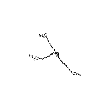 CCCCCCCCCCCCCCCCN1C=CN(CCCCCCCCCCCCCCC)C1CCCCCCCCCCCCC